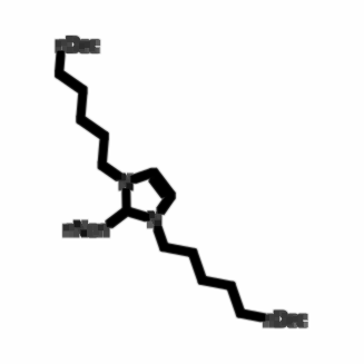 CCCCCCCCCCCCCCCN1C=CN(CCCCCCCCCCCCCCC)C1CCCCCCCCC